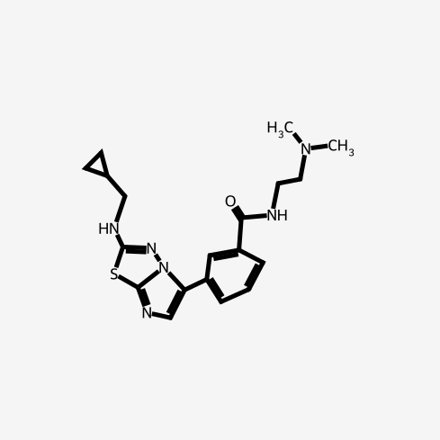 CN(C)CCNC(=O)c1cccc(-c2cnc3sc(NCC4CC4)nn23)c1